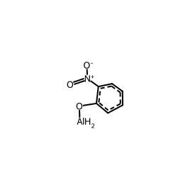 O=[N+]([O-])c1ccccc1[O][AlH2]